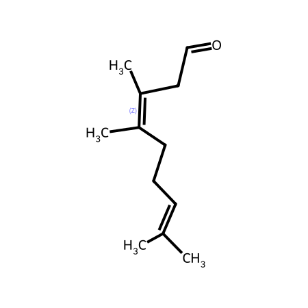 CC(C)=CCC/C(C)=C(/C)CC=O